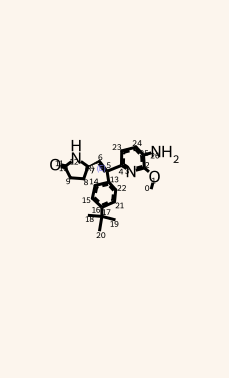 COc1nc(/C(=C/[C@H]2CCC(=O)N2)c2ccc(C(C)(C)C)cc2)ccc1N